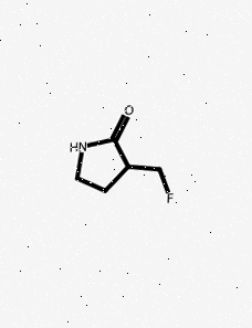 O=C1NCCC1CF